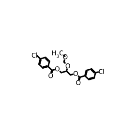 COCOC(COC(=O)c1ccc(Cl)cc1)COC(=O)c1ccc(Cl)cc1